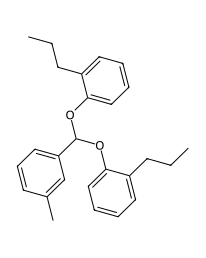 CCCc1ccccc1OC(Oc1ccccc1CCC)c1cccc(C)c1